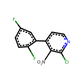 O=[N+]([O-])c1c(-c2cc(F)ccc2F)ccnc1Cl